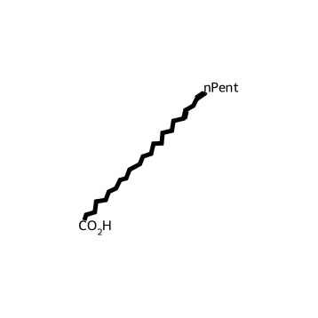 CCCCCC=CCC=CCCCCCCCCCCCCCCCCCC(=O)O